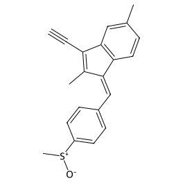 C#CC1=C(C)/C(=C\c2ccc([S+](C)[O-])cc2)c2ccc(C)cc21